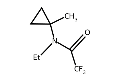 CCN(C(=O)C(F)(F)F)C1(C)CC1